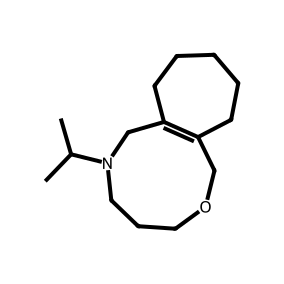 CC(C)N1CCCOCC2=C(CCCCC2)C1